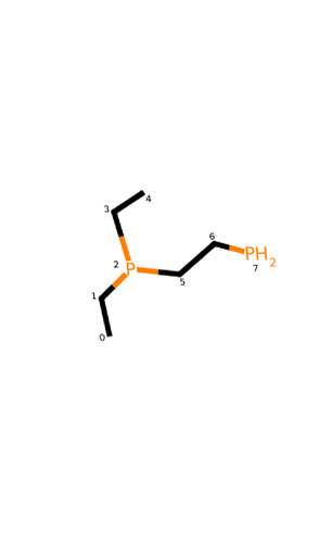 CCP(CC)CCP